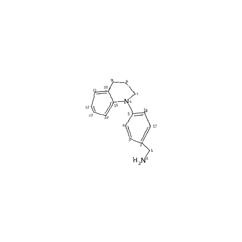 NCc1ccc(N2CCCc3ccccc32)cc1